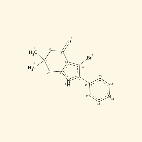 CC1(C)CC(=O)c2c([nH]c(-c3ccncc3)c2Br)C1